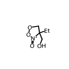 CCC1(CO)COO[N+]1=O